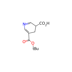 CC(C)(C)OC(=O)C1=CN=CC(C(=O)O)C1